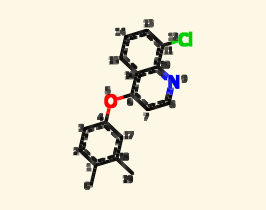 Cc1ccc(Oc2ccnc3c(Cl)cccc23)cc1C